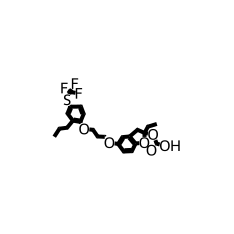 CCCc1cc(SC(F)(F)F)ccc1OCCCOc1ccc2c(c1)CC(CC)(OC(=O)O)O2